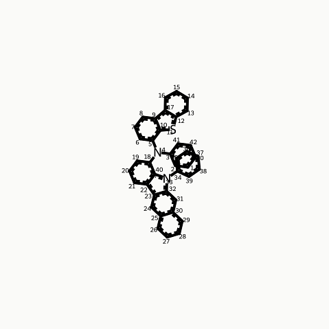 c1ccc(N(c2cccc3c2sc2ccccc23)c2cccc3c4cc5ccccc5cc4n(-c4ccccc4)c23)cc1